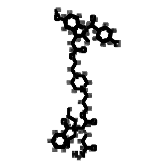 CCC[N+](CCC)(C(=O)c1ccccc1)[C@@H](CCC(N)=O)C(=O)OCCCN1CCN(CCOC(=O)Cc2c(C)n(C(=O)c3ccc(Cl)cc3)c3ccc(OC)cc23)CC1